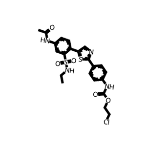 CCNS(=O)(=O)c1cc(NC(C)=O)ccc1-c1cnc(-c2ccc(NC(=O)OCCCl)cc2)s1